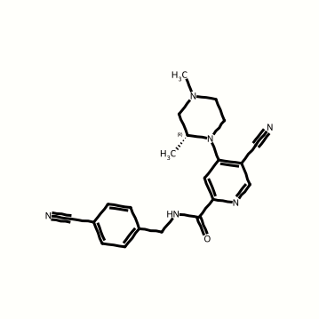 C[C@@H]1CN(C)CCN1c1cc(C(=O)NCc2ccc(C#N)cc2)ncc1C#N